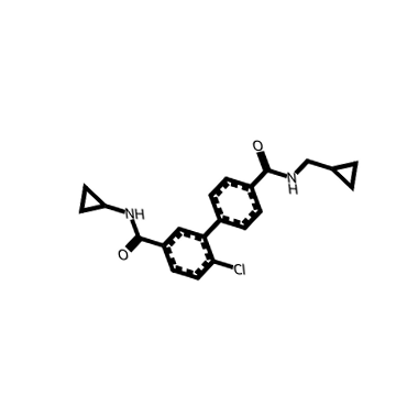 O=C(NCC1CC1)c1ccc(-c2cc(C(=O)NC3CC3)ccc2Cl)cc1